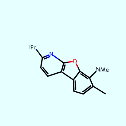 CNc1c(C)ccc2c1oc1nc(C(C)C)ccc12